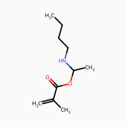 C=C(C)C(=O)OC(C)NCCCC